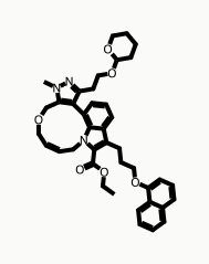 CCOC(=O)c1c(CCCOc2cccc3ccccc23)c2cccc3c2n1C/C=C\COCc1c-3c(CCOC2CCCCO2)nn1C